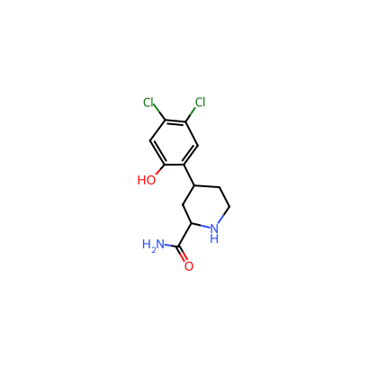 NC(=O)C1CC(c2cc(Cl)c(Cl)cc2O)CCN1